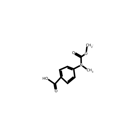 [CH2]OC(=O)N(C)c1ccc(C(=O)O)cc1